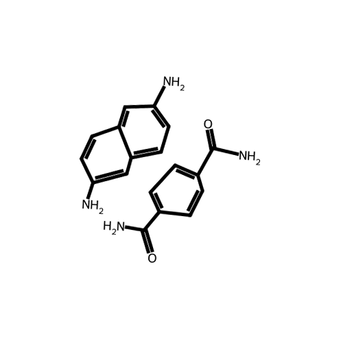 NC(=O)c1ccc(C(N)=O)cc1.Nc1ccc2cc(N)ccc2c1